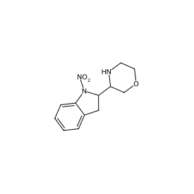 O=[N+]([O-])N1c2ccccc2CC1C1COCCN1